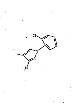 Nc1nn(-c2ccccc2Cl)cc1I